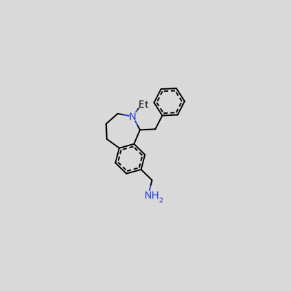 CCN1CCCc2ccc(CN)cc2C1Cc1ccccc1